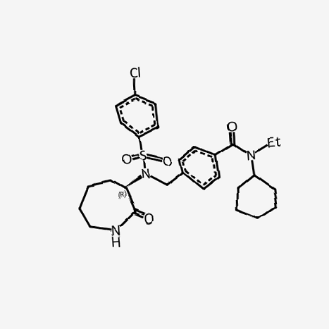 CCN(C(=O)c1ccc(CN([C@@H]2CCCCNC2=O)S(=O)(=O)c2ccc(Cl)cc2)cc1)C1CCCCC1